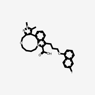 Cc1c2c(nn1C)COCCCCn1c(C(=O)O)c(CCCOc3cccc4cc(I)ccc34)c3cccc-2c31